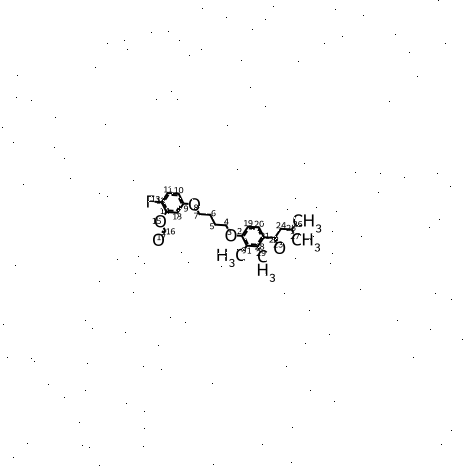 Cc1c(OCCCCOc2ccc(F)c(OC=O)c2)ccc(C(=O)CC(C)C)c1C